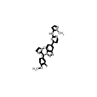 COc1ccc([C@@H](c2nccn2C)n2nnc3cc(-c4ccnc(Nc5ccnn5C)n4)ccc32)cc1F